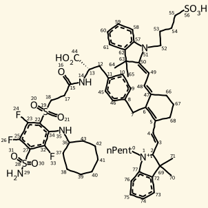 CCCCC[N+]1=C(/C=C/C2=C(Cc3ccc(C[C@H](NC(=O)CCS(=O)(=O)c4c(F)c(F)c(S(N)(=O)=O)c(F)c4NC4CCCCCCC4)C(=O)O)cc3)C(=C/C=C3/N(CCCCS(=O)(=O)O)c4ccccc4C3(C)C)/CCC2)C(C)(C)c2ccccc21